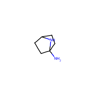 NC12CCC(CC1)N2